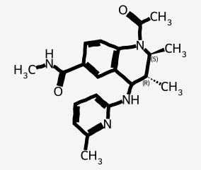 CNC(=O)c1ccc2c(c1)C(Nc1cccc(C)n1)[C@@H](C)[C@H](C)N2C(C)=O